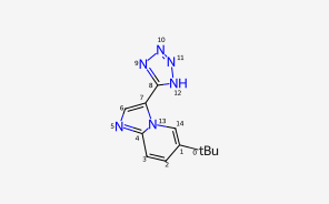 CC(C)(C)c1ccc2ncc(-c3nnn[nH]3)n2c1